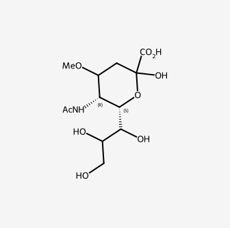 COC1CC(O)(C(=O)O)O[C@H](C(O)C(O)CO)[C@@H]1NC(C)=O